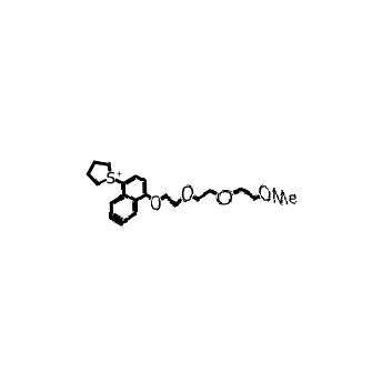 COCCOCCOCCOc1ccc([S+]2CCCC2)c2ccccc12